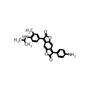 Cc1cc(C2=c3cc4c(cc3OC2=O)=C(c2ccc(N)cc2)C(=O)O4)ccc1NC(C)C